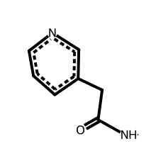 [NH]C(=O)Cc1cccnc1